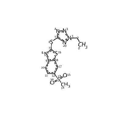 CCn1nnc(Sc2nc3ccc(S(C)(=O)=O)cc3s2)n1